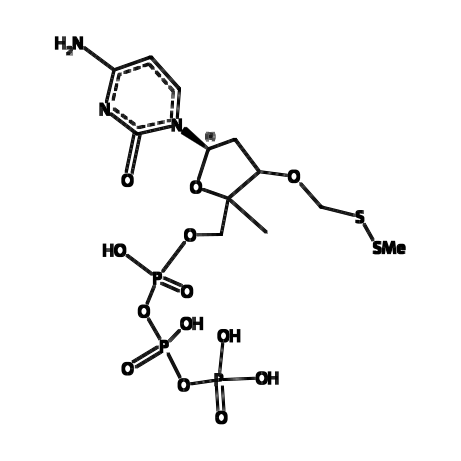 CSSCOC1C[C@H](n2ccc(N)nc2=O)OC1(C)COP(=O)(O)OP(=O)(O)OP(=O)(O)O